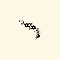 O=C(Nc1ccc(N2C(=O)Cc3cc(NCC(F)(F)F)ccc3C2=O)c(Cl)c1)NS(=O)(=O)c1ccc(Cl)s1